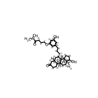 CN(C)C(=O)CCCOc1cc(O)cc(CCC[C@@H]2C[C@H]3CC(=O)CC[C@]3(C)[C@H]3CC[C@]4(C)[C@@H](O)CC[C@H]4[C@H]23)c1